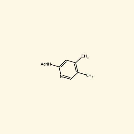 CC(=O)Nc1cc(C)c(C)cn1